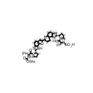 COC(=O)N[C@H](C(=O)N1CCC[C@H]1c1nc2ccc3cc(-c4ccc5c(ccc6nc([C@@H]7CCCN7C(=O)[C@@H](NC(=O)O)C(C)C)[nH]c65)n4)oc3c2[nH]1)C(C)C